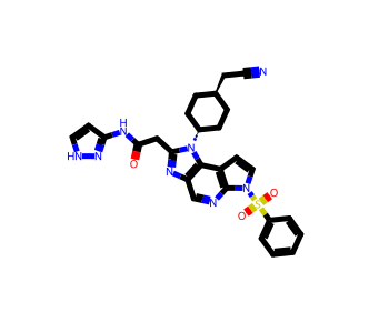 N#CC[C@H]1CC[C@H](n2c(CC(=O)Nc3cc[nH]n3)nc3cnc4c(ccn4S(=O)(=O)c4ccccc4)c32)CC1